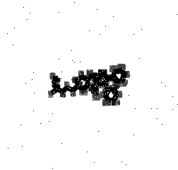 C=C=C(C)CCCC1CCC(Cn2nc(-c3ccccc3)c(C3=CCCC=C3)c2SC)CC1